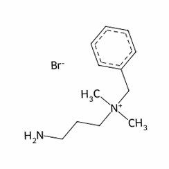 C[N+](C)(CCCN)Cc1ccccc1.[Br-]